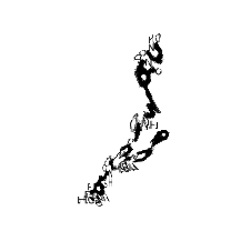 CC(C)(C)[C@H](NC(=O)c1cc2cc(C(F)(F)P(=O)(O)O)ccc2s1)C(=O)N1C[C@@H](OCC(=O)NCCCCC#Cc2ccc3c(c2)C(=O)N(C2CCC(=O)NC2=O)C3=O)C[C@H]1C(=O)N1CCC[C@H](c2ccccc2)C1